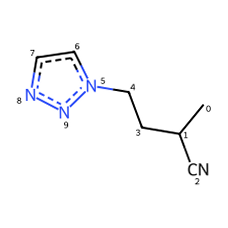 CC(C#N)CCn1ccnn1